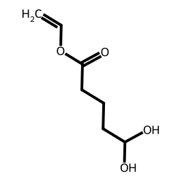 C=COC(=O)CCCC(O)O